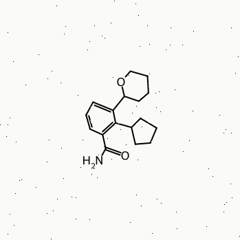 NC(=O)c1cccc(C2CCCCO2)c1C1CCCC1